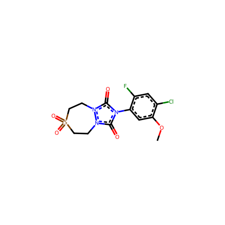 COc1cc(-n2c(=O)n3n(c2=O)CCS(=O)(=O)CC3)c(F)cc1Cl